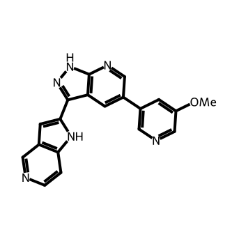 COc1cncc(-c2cnc3[nH]nc(-c4cc5cnccc5[nH]4)c3c2)c1